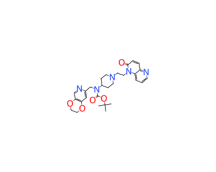 CC(C)(C)OC(=O)N(Cc1cc2c(cn1)OCCO2)C1CCN(CCn2c(=O)ccc3ncccc32)CC1